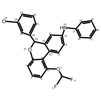 FC(F)Oc1cccc2c1-c1ccc(Nc3ccccc3)cc1C(c1cccc(Cl)c1)O2